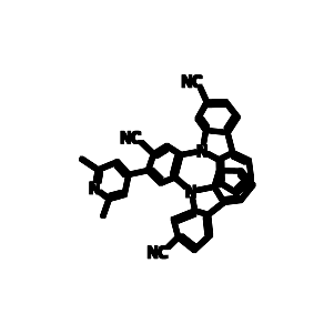 Cc1cc(-c2cc(-n3c4ccccc4c4ccc(C#N)cc43)c(-n3c4ccccc4c4ccc(C#N)cc43)cc2C#N)cc(C)n1